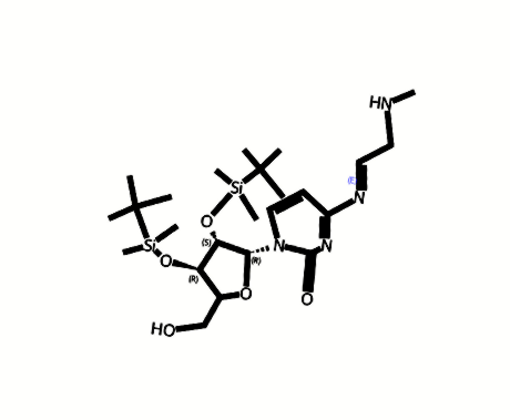 CNC/C=N/c1ccn([C@@H]2OC(CO)[C@@H](O[Si](C)(C)C(C)(C)C)[C@@H]2O[Si](C)(C)C(C)(C)C)c(=O)n1